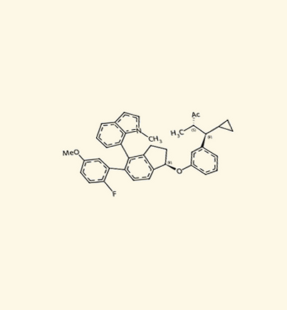 COc1ccc(F)c(-c2ccc3c(c2-c2cccc4ccn(C)c24)CC[C@H]3Oc2cccc([C@H](C3CC3)[C@H](C)C(C)=O)c2)c1